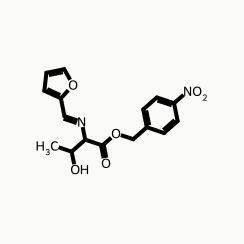 CC(O)C(N=Cc1ccco1)C(=O)OCc1ccc([N+](=O)[O-])cc1